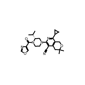 CC(C)[C@@H]1CN(c2nc(C3CC3)c3c(c2C#N)CC(C)(C)OC3)CCN1C(=O)c1cocn1